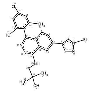 CCn1cc(-c2ccc3c(-c4c(C)cc(Cl)cc4O)nnc(NCC(C)(C)O)c3c2)cn1